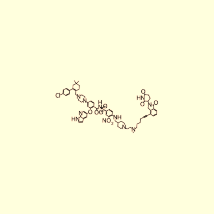 CN(CCCCC#Cc1cccc2c1CN(C1CCC(=O)NC1=O)C2=O)CCN1CCC(CNc2ccc(S(=O)(=O)NC(=O)c3ccc(N4CCN(CC5=C(c6ccc(Cl)cc6)CC(C)(C)CC5)CC4)cc3Oc3cnc4[nH]ccc4c3)cc2[N+](=O)[O-])CC1